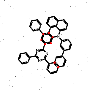 c1ccc(-c2cccc(N(c3cccc(-c4ccccc4)c3)c3cccc4cccc(-c5ccc(-c6nc(-c7ccccc7)nc(-c7ccccc7)n6)cc5)c34)c2)cc1